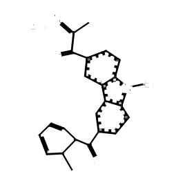 CCn1c2ccc(C(=O)/C(C)=N\OC(C)=O)cc2c2cc(C(=O)C3C=CC=CC3C)ccc21